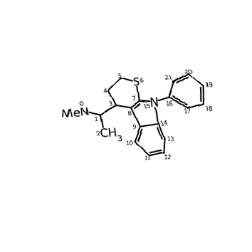 CNC(C)C1CCSc2c1c1ccccc1n2-c1ccccc1